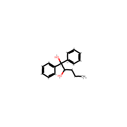 CCCC(O)C(O)(c1ccccc1)c1ccccc1